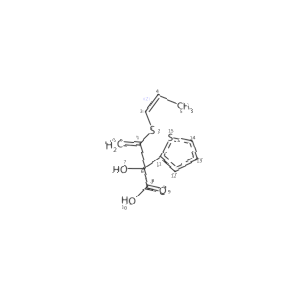 C=C(S/C=C\C)C(O)(C(=O)O)c1cccs1